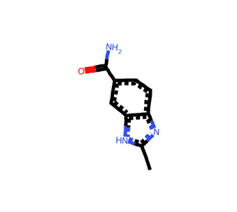 Cc1nc2ccc(C(N)=O)cc2[nH]1